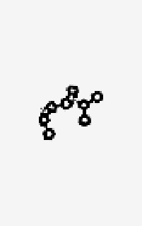 c1ccc(-c2cc(-c3ccccc3)cc(-n3c4ccccc4c4cc(-c5ccc6sc7ccc(-c8ccccc8)cc7c6c5)ccc43)c2)cc1